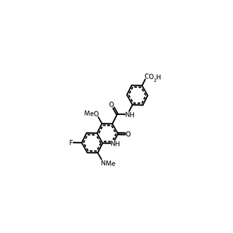 CNc1cc(F)cc2c(OC)c(C(=O)Nc3ccc(C(=O)O)cc3)c(=O)[nH]c12